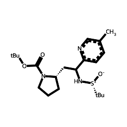 Cc1ccc(C(C[C@@H]2CCCN2C(=O)OC(C)(C)C)N[S@+]([O-])C(C)(C)C)nc1